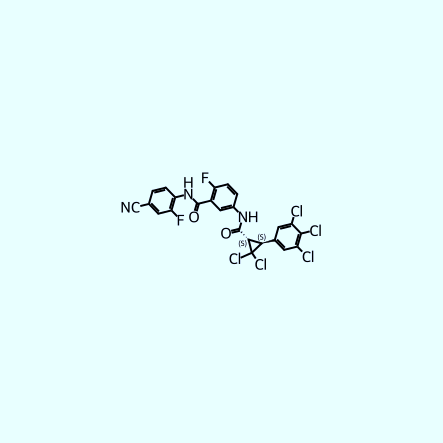 N#Cc1ccc(NC(=O)c2cc(NC(=O)[C@@H]3[C@@H](c4cc(Cl)c(Cl)c(Cl)c4)C3(Cl)Cl)ccc2F)c(F)c1